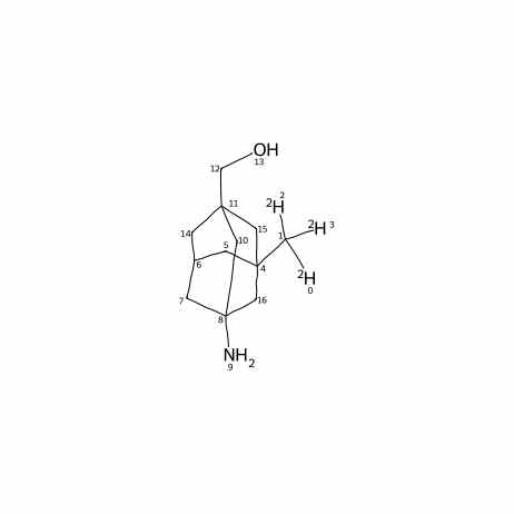 [2H]C([2H])([2H])C12CC3CC(N)(CC(CO)(C3)C1)C2